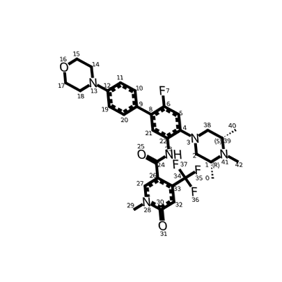 C[C@@H]1CN(c2cc(F)c(-c3ccc(N4CCOCC4)cc3)cc2NC(=O)c2cn(C)c(=O)cc2C(F)(F)F)C[C@H](C)N1C